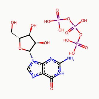 Nc1nc2c(ncn2[C@@H]2O[C@H](CO)[C@@H](O)[C@H]2O)c(=O)[nH]1.O=P(O)(O)OP(=O)(O)OP(=O)(O)O